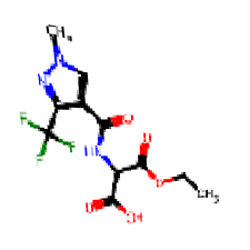 CCOC(=O)C(NC(=O)c1cn(C)nc1C(F)(F)F)C(=O)O